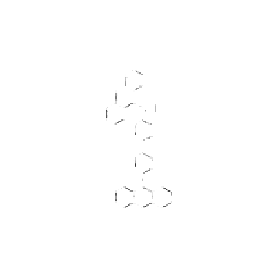 c1ccc2c(Nc3ccc(-c4ccc(-c5c6ccccc6cc6ccccc56)cc4)cc3)c3ccccc3cc2c1